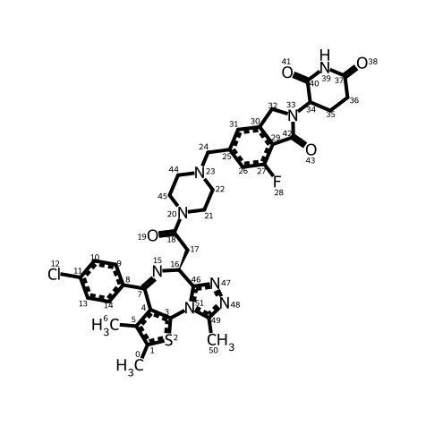 Cc1sc2c(c1C)C(c1ccc(Cl)cc1)=N[C@@H](CC(=O)N1CCN(Cc3cc(F)c4c(c3)CN(C3CCC(=O)NC3=O)C4=O)CC1)c1nnc(C)n1-2